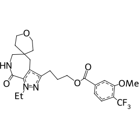 CCn1nc(CCCOC(=O)c2ccc(C(F)(F)F)c(OC)c2)c2c1C(=O)NCC1(CCOCC1)C2